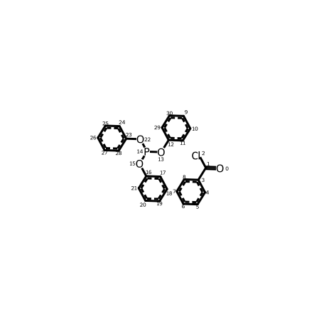 O=C(Cl)c1ccccc1.c1ccc(OP(Oc2ccccc2)Oc2ccccc2)cc1